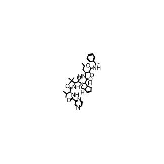 CCCC(NC(=O)C1[C@H]2CC=C[C@H]2CN1C(=O)[C@@H](NC(=O)[C@H](NC(=O)c1cnccn1)C(C)C)C(C)(C)C)C(=O)C(=O)N[C@@H](C)c1ccccc1